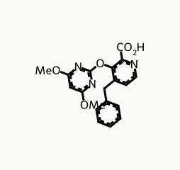 COc1cc(OC)nc(Oc2c(Cc3ccccc3)ccnc2C(=O)O)n1